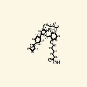 CC[C@H](C)[C@@H](C=O)Nc1ccc(-c2ccc(-c3ccco3)cc2)n1Cc1ccccc1OCCCCCC(=O)O